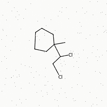 CC1(C(Cl)CCl)CCCCC1